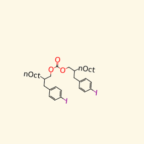 CCCCCCCCC(COC(=O)OCC(CCCCCCCC)Cc1ccc(I)cc1)Cc1ccc(I)cc1